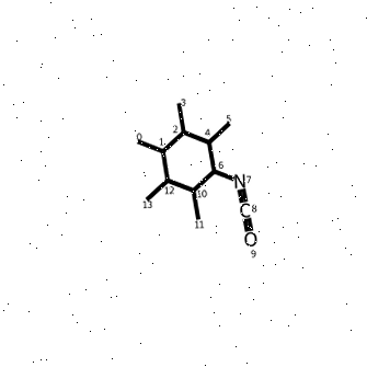 CC1C(C)C(C)C(N=C=O)C(C)C1C